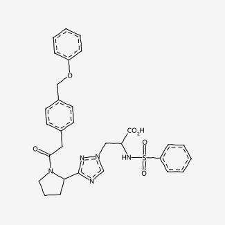 O=C(O)C(Cn1cnc(C2CCCN2C(=O)Cc2ccc(COc3ccccc3)cc2)n1)NS(=O)(=O)c1ccccc1